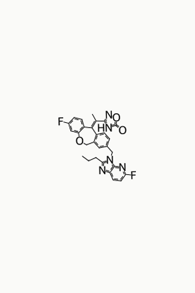 CCCc1nc2ccc(F)nc2n1Cc1ccc2c(c1)COc1cc(F)ccc1/C2=C(\C)c1noc(=O)[nH]1